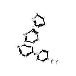 [S-2].[S-2].c1cc[nH+]cc1.c1cc[nH+]cc1.c1cc[nH+]cc1.c1cc[nH+]cc1